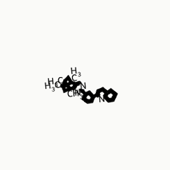 CC12CC3(C)C4(C)CC(C)(c5nc(-c6cccc(-c7ccc8ccccc8n7)c6)ncc51)C234